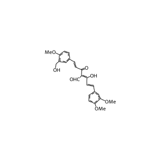 COc1ccc(/C=C/C(=O)/C(C=O)=C(O)/C=C/c2ccc(OC)c(OC)c2)cc1CO